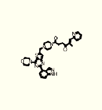 CC(=Cc1ccccn1)C(=O)CCC(=O)N1CCN(Cc2cc3nc(-c4cccc5[nH]ncc45)nc(N4CCOCC4)c3s2)CC1